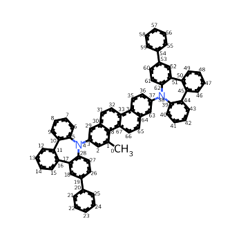 Cc1cc(N2c3ccccc3-c3ccccc3-c3cc(-c4ccccc4)ccc32)cc2ccc3c4ccc(N5c6ccccc6-c6ccccc6-c6cc(-c7ccccc7)ccc65)cc4ccc3c12